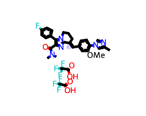 COc1cc(/C=C2\CCCn3c2nc(C(=O)N(C)C)c3-c2ccc(F)cc2)ccc1-n1cnc(C)c1.O=C(O)C(F)(F)F.O=C(O)C(F)(F)F